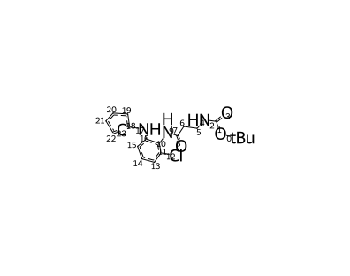 CC(C)(C)OC(=O)NCCC(=O)Nc1c(Cl)cccc1Nc1ccccc1